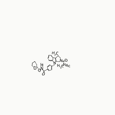 CC(=O)N(C)C(=O)N1Cc2c(c3ccccc3n2Cc2ccc(C(=O)NOC3CCCCO3)cc2)C(C)C1